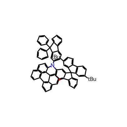 CC(C)(C)c1ccc2c(c1)C1(c3ccccc3-c3ccc(N(c4ccc5c(c4)C(c4ccccc4)(c4ccccc4)c4ccccc4-5)c4ccccc4-c4cccc5cccc(-c6ccccc6)c45)cc31)c1cc(C(C)(C)C)ccc1-2